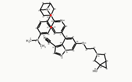 CN(C)c1ccc(CN2C3CC2CN(c2ccc(-c4cc(OCCN5CC6CC6(O)C5)cn5ncc(C#N)c45)cn2)C3)cc1